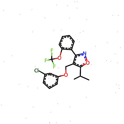 CC(C)c1onc(-c2ccccc2OC(F)(F)F)c1COc1[c]c(Cl)ccc1